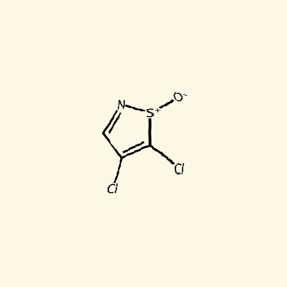 [O-][s+]1ncc(Cl)c1Cl